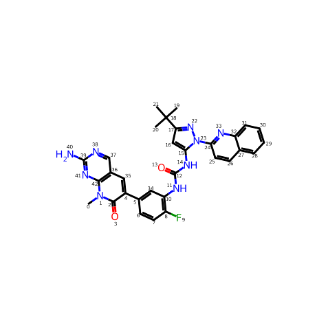 Cn1c(=O)c(-c2ccc(F)c(NC(=O)Nc3cc(C(C)(C)C)nn3-c3ccc4ccccc4n3)c2)cc2cnc(N)nc21